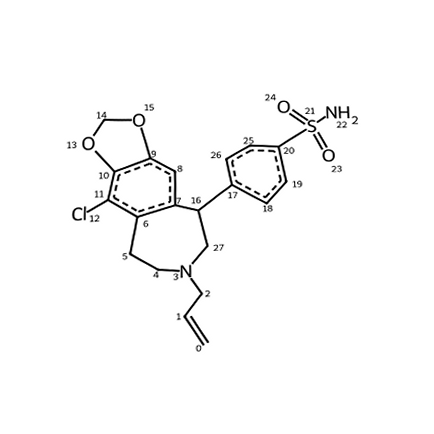 C=CCN1CCc2c(cc3c(c2Cl)OCO3)C(c2ccc(S(N)(=O)=O)cc2)C1